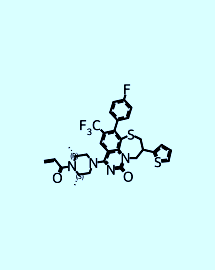 C=CC(=O)N1[C@H](C)CN(c2nc(=O)n3c4c(c(-c5ccc(F)cc5)c(C(F)(F)F)cc24)SCC(c2cccs2)C3)C[C@@H]1C